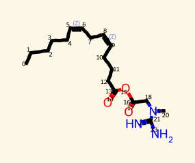 CCCCC/C=C\C/C=C\CCCC(=O)OC(=O)CN(C)C(=N)N